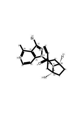 C=CC(=O)N1[C@@H]2CC[C@H]1CC(n1nc(Br)c3c(C)nccc31)C2